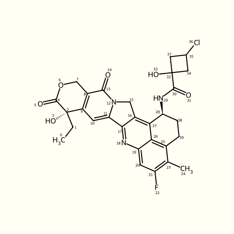 CC[C@@]1(O)C(=O)OCc2c1cc1n(c2=O)Cc2c-1nc1cc(F)c(C)c3c1c2[C@@H](NC(=O)C1(O)CC(Cl)C1)CC3